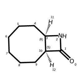 O=C1N[C@@H]2CCCCCC[C@H]12